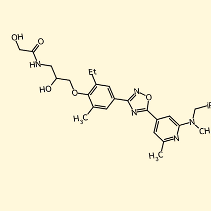 CCc1cc(-c2noc(-c3cc(C)nc(N(C)CC(C)C)c3)n2)cc(C)c1OCC(O)CNC(=O)CO